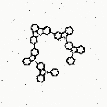 C1=C(c2ccc3c(c2)c2ccccc2n3-c2ccc3c(c2)c2ccccc2n3-c2ccccc2)CC2C(=C1)c1cccc3c4ccc(-c5ccc6c(c5)c5ccccc5n6-c5ccc6c(c5)c5ccccc5n6-c5ccccc5)cc4n2c13